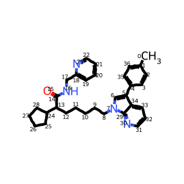 Cc1ccc(-c2cn(CCCCCC(C(=O)NCc3ccccn3)C3CCCC3)c3ncccc23)cc1